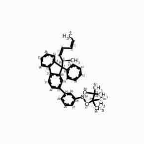 C/C=C\C=C/[C@@H](C)C1(c2ccccc2)c2ccccc2-c2ccc(-c3cccc(B4OC(C)(C)C(C)(C)O4)c3)cc21